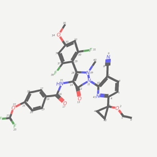 CCOC1(c2ccc(C#N)c(-n3c(=O)c(NC(=O)c4ccc(OC(F)F)cc4)c(-c4c(F)cc(OC)cc4F)n3C)n2)CC1